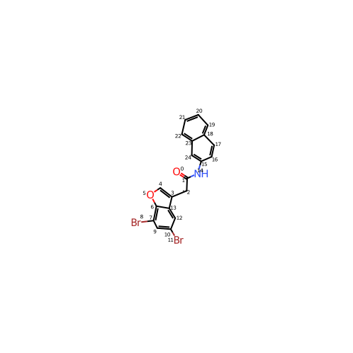 O=C([CH]c1coc2c(Br)cc(Br)cc12)Nc1ccc2ccccc2c1